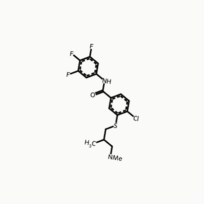 CNCC(C)CSc1cc(C(=O)Nc2cc(F)c(F)c(F)c2)ccc1Cl